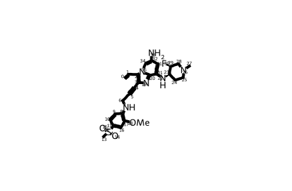 C=Cc1c(C#CCNc2ccc(S(C)(=O)=O)cc2OC)nc2c(N[C@@H]3CCN(C)C[C@@H]3F)cc(N)cn12